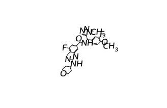 COc1ccc([C@H](NC(=O)c2cc(F)c3cnc(NC4CCOCC4)nc3c2)c2cnnn2C)cc1F